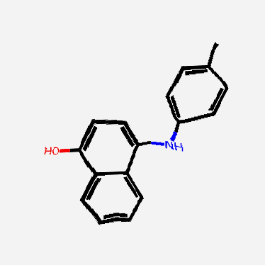 Cc1ccc(Nc2ccc(O)c3ccccc23)cc1